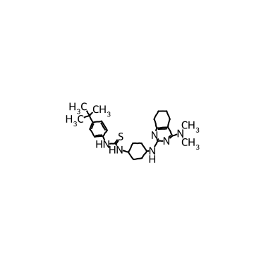 CN(C)c1nc(NC2CCC(NC(=S)Nc3ccc(C(C)(C)C)cc3)CC2)nc2c1CCCC2